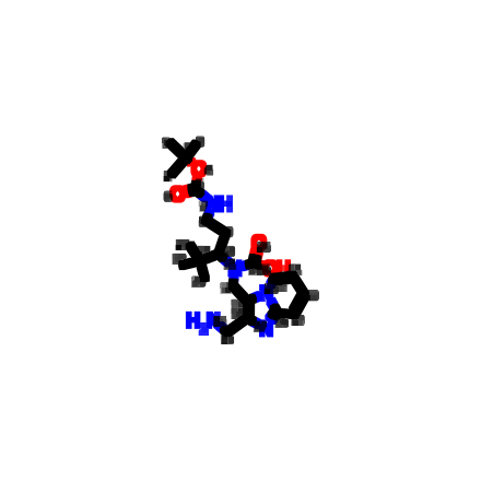 CC(C)(C)OC(=O)NCCC(N(Cc1c(CN)nc2ccccn12)C(=O)O)C(C)(C)C